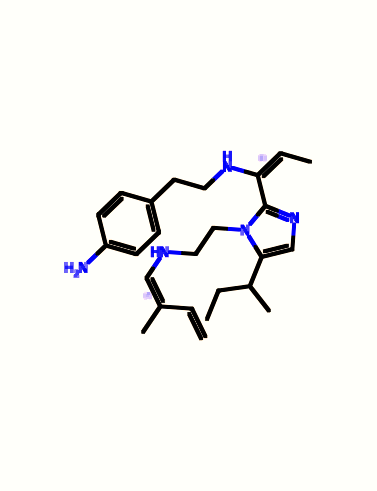 C=C/C(C)=C\NCCn1c(C(C)CC)cnc1/C(=C\C)NCCc1ccc(N)cc1